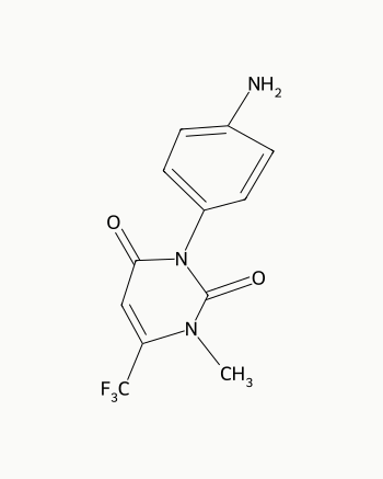 Cn1c(C(F)(F)F)cc(=O)n(-c2ccc(N)cc2)c1=O